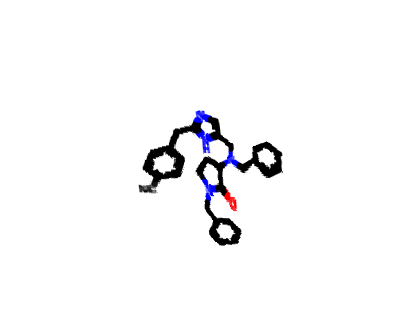 N#Cc1ccc(Cc2ncc(CN(Cc3ccccc3)C3CCN(Cc4ccccc4)C3=O)[nH]2)cc1